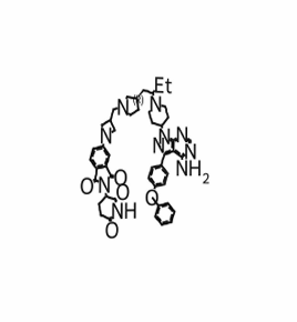 CCC(C[C@H]1CCN(CC2CN(c3ccc4c(c3)C(=O)N(C3CCC(=O)NC3=O)C4=O)C2)C1)N1CCC(n2nc(-c3ccc(Oc4ccccc4)cc3)c3c(N)ncnc32)CC1